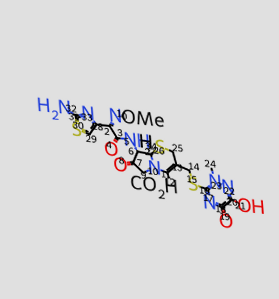 CON=C(C(=O)N[C@@H]1C(=O)CN2C(C(=O)O)=C(CSc3nc(=O)c(O)nn3C)CS[C@H]12)c1csc(N)n1